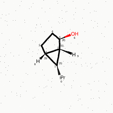 CC(C)[C@H]1[C@@H]2CC[C@@H](O)[C@@H]21